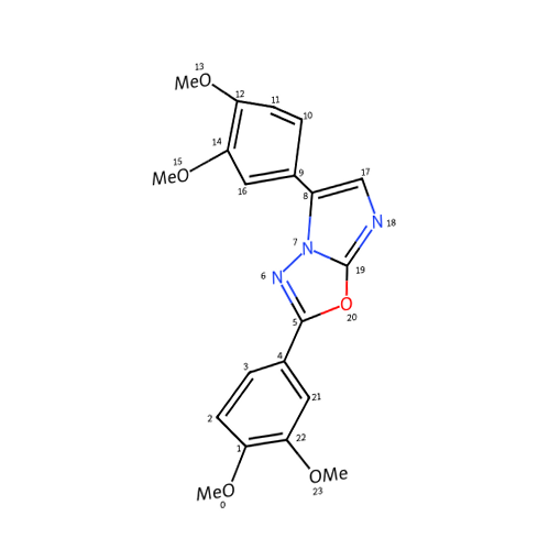 COc1ccc(-c2nn3c(-c4ccc(OC)c(OC)c4)cnc3o2)cc1OC